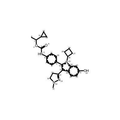 CC(OC(=O)Nc1ccc(-c2c(C3=NN(C)CC3)c3ccc(O)cc3n2C2CCC2)cc1)C1CC1